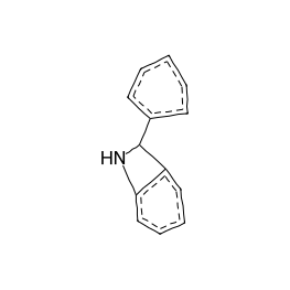 c1ccc(C2Nc3ccccc32)cc1